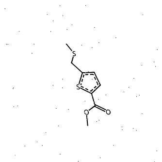 COC(=O)c1ccc(CSC)s1